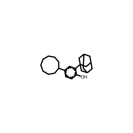 Oc1ccc(C2CCCCCCCC2)cc1C12CC3CC(CC(C3)C1)C2